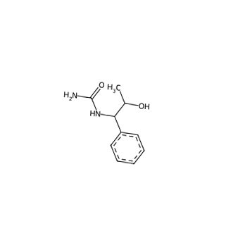 CC(O)C(NC(N)=O)c1ccccc1